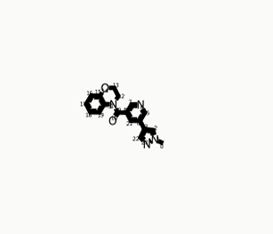 Cn1cc(-c2cncc(C(=O)N3CCOc4ccccc43)c2)cn1